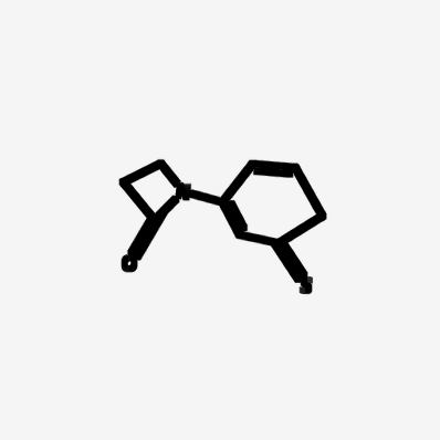 O=C1CCN1C1=CC(=S)CC=C1